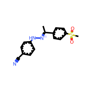 C/C(=N\Nc1ccc(C#N)cc1)c1ccc(S(C)(=O)=O)cc1